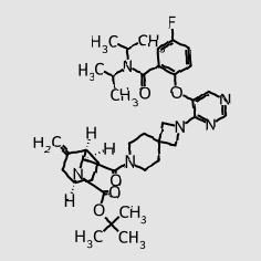 C=C1C[C@@H]2CC[C@H]1[C@@H](C(=O)N1CCC3(CC1)CN(c1ncncc1Oc1ccc(F)cc1C(=O)N(C(C)C)C(C)C)C3)N2C(=O)OC(C)(C)C